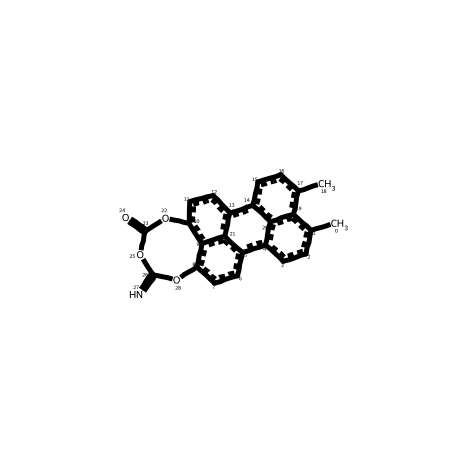 Cc1ccc2c3ccc4c5c(ccc(c6ccc(C)c1c26)c53)OC(=O)OC(=N)O4